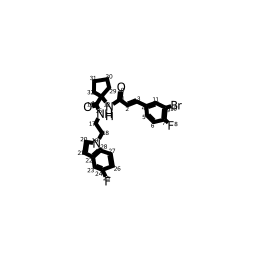 O=C(C=Cc1ccc(F)c(Br)c1)NC1(C(=O)NCCn2ccc3cc(F)ccc32)CCCC1